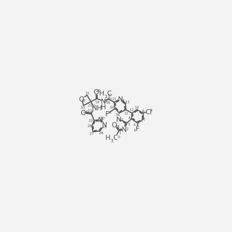 Cc1nc(-c2c(F)cc(Cl)cc2-c2cnc([C@@H](C)NC(=O)C3(NC(=O)c4cccnn4)COC3)c(F)c2)no1